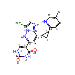 Cc1ccc([C@H]2C[C@@H]2c2cc(-c3c[nH]c(=O)[nH]c3=O)nn3c(F)cnc23)nc1